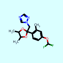 Cc1cc(OC(F)F)ccc1C1(Cn2cncn2)OC(C)C(C)O1